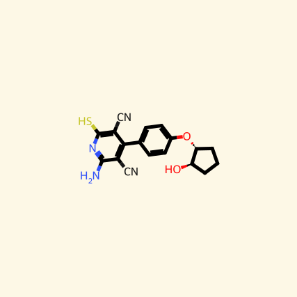 N#Cc1c(N)nc(S)c(C#N)c1-c1ccc(O[C@@H]2CCC[C@H]2O)cc1